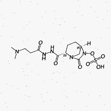 CN(C)CCC(=O)NNC(=O)[C@@H]1CC[C@@H]2CN1C(=O)N2OS(=O)(=O)O